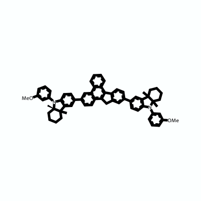 COc1cccc(N2c3ccc(-c4ccc5c(c4)Cc4c-5c5ccccc5c5cc(-c6ccc7c(c6)C6(C)CCCC[C@]6(C)N7c6cccc(OC)c6)ccc45)cc3C3(C)CCCCC23C)c1